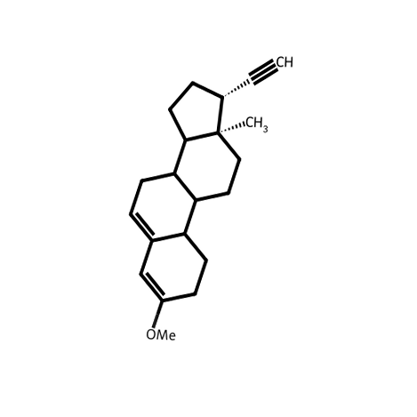 C#C[C@H]1CCC2C3CC=C4C=C(OC)CCC4C3CC[C@@]21C